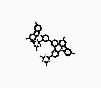 Cc1ccc2c(c1)c1cc(C)ccc1n2-c1ccc(-c2nc(C)nc(C)n2)cc1-c1cccc(-c2ccc(-n3c4ccc(C)cc4c4cc(C)ccc43)c(-c3nc(C)nc(C)n3)c2)c1